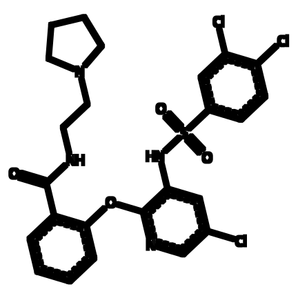 O=C(NCCN1CCCC1)c1ccccc1Oc1ncc(Cl)cc1NS(=O)(=O)c1ccc(Cl)c(Cl)c1